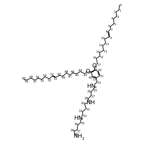 CCCCCCCC/C=C/CCCCCCCCOc1ccc(CNCCCCNCCCCNCCCCN)cc1OCCCCCCCC/C=C/CCCCCCCC